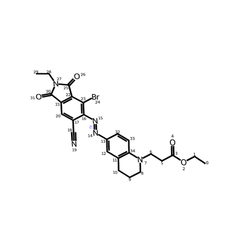 CCOC(=O)CCN1CCCc2cc(/N=N/c3c(C#N)cc4c(c3Br)C(=O)N(CC)C4=O)ccc21